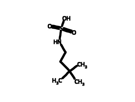 CC(C)(C)CCNS(=O)(=O)O